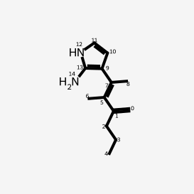 C=C(CCC)/C(C)=C(\C)c1cc[nH]c1N